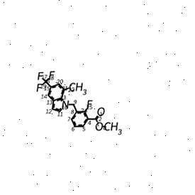 COC(=O)c1cccc(Cn2ccc3cc(C(F)(F)F)cc(C)c32)c1F